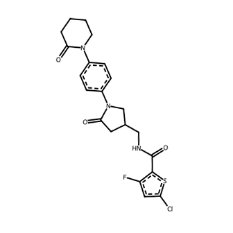 O=C(NCC1CC(=O)N(c2ccc(N3CCCCC3=O)cc2)C1)c1sc(Cl)cc1F